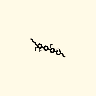 CCCCCc1ccc(-c2ccc(-c3ccc(C4CCC(CCC)CO4)cc3F)cc2)c(F)c1F